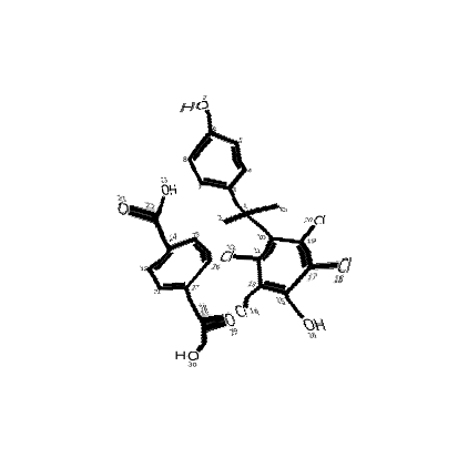 CC(C)(c1ccc(O)cc1)c1c(Cl)c(Cl)c(O)c(Cl)c1Cl.O=C(O)c1ccc(C(=O)O)cc1